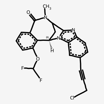 CN1C(=O)c2cccc(OC(F)F)c2[C@H]2CC1c1nc3ccc(C#CCCl)cc3n12